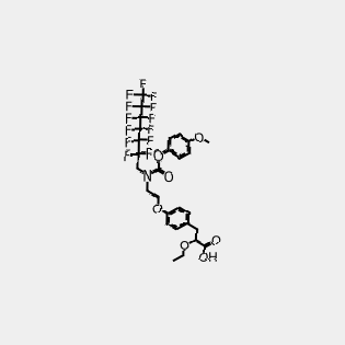 CCOC(Cc1ccc(OCCN(CC(F)(F)C(F)(F)C(F)(F)C(F)(F)C(F)(F)C(F)(F)F)C(=O)Oc2ccc(OC)cc2)cc1)C(=O)O